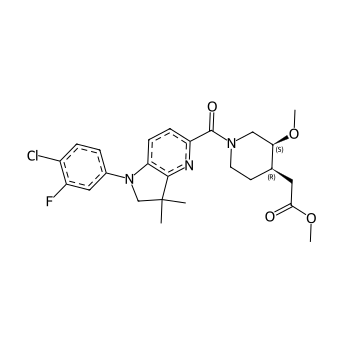 COC(=O)C[C@H]1CCN(C(=O)c2ccc3c(n2)C(C)(C)CN3c2ccc(Cl)c(F)c2)C[C@H]1OC